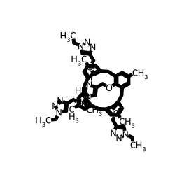 CCN1C=C(COc2c3cc(C)cc2Cc2cc(C)cc(c2OCc2cn(CC)nn2)Cc2cc(C)cc(c2OCc2cn(CC)nn2)Cc2cc(C)cc(c2OCc2cn(CC)nn2)C3)NN1